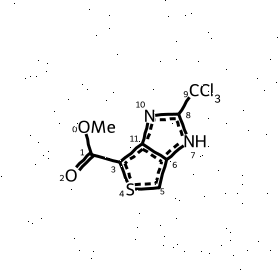 COC(=O)c1scc2[nH]c(C(Cl)(Cl)Cl)nc12